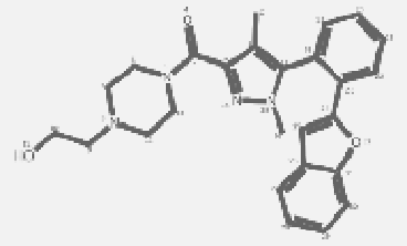 Cc1c(C(=O)N2CCN(CCO)CC2)nn(C)c1-c1ccccc1-c1cc2ccccc2o1